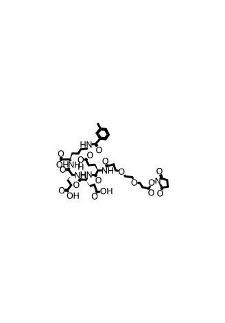 Cc1cccc(C(=O)NCCCC[C@@H](NC(=O)[C@@H](CCC(=O)O)NC(=O)[C@@H](CCC(=O)O)NC(=O)[C@@H](CCC(=O)O)NC(=O)CCOCCOCCC(=O)ON2C(=O)CCC2=O)C(=O)O)c1